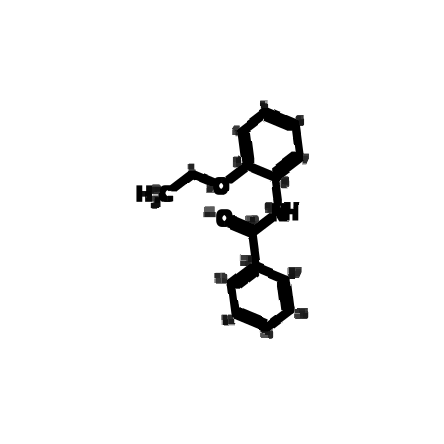 CCOc1ccccc1NC(=O)c1ccccc1